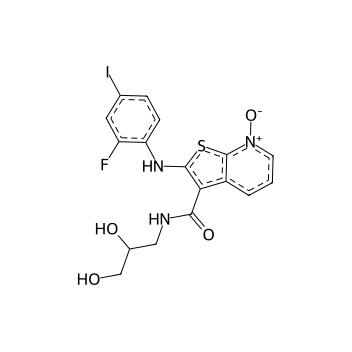 O=C(NCC(O)CO)c1c(Nc2ccc(I)cc2F)sc2c1ccc[n+]2[O-]